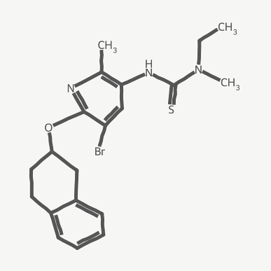 CCN(C)C(=S)Nc1cc(Br)c(OC2CCc3ccccc3C2)nc1C